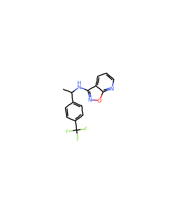 CC(Nc1noc2ncccc12)c1ccc(C(F)(F)F)cc1